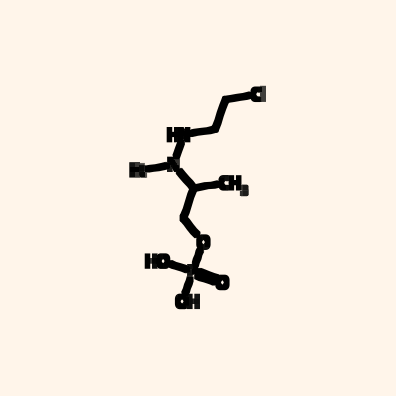 CCN(NCCCl)C(C)COP(=O)(O)O